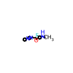 CCNc1ccc(C(=O)CCCN2CCN(c3ccccc3)CC2)c(F)c1